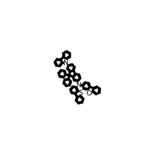 c1ccc(C2(c3ccccc3)c3cc(N(c4ccc5c(c4)oc4ccccc45)c4cccc5c4sc4ccccc45)ccc3-c3ccc(-n4c5ccccc5c5ccccc54)cc32)cc1